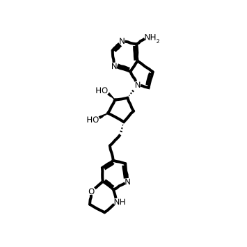 Nc1ncnc2c1ccn2[C@@H]1C[C@H](CCc2cnc3c(c2)OCCN3)[C@@H](O)[C@H]1O